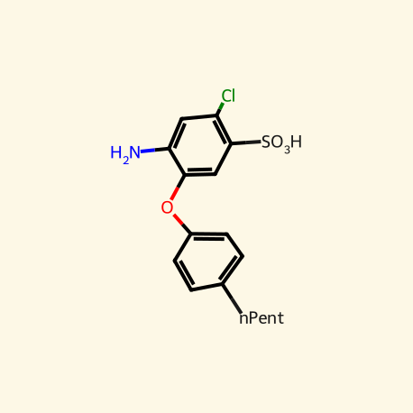 CCCCCc1ccc(Oc2cc(S(=O)(=O)O)c(Cl)cc2N)cc1